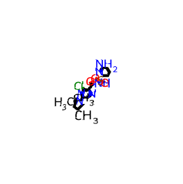 CC1CN(c2cnc(C(=O)NS(=O)(=O)c3cccc(N)n3)c(Cl)n2)C(C)(C)C1